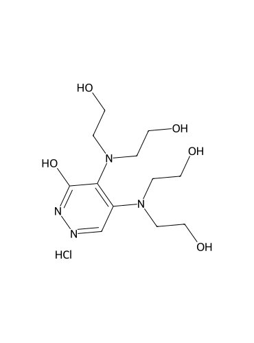 Cl.OCCN(CCO)c1cnnc(O)c1N(CCO)CCO